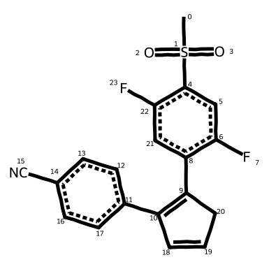 CS(=O)(=O)c1cc(F)c(C2=C(c3ccc(C#N)cc3)C=CC2)cc1F